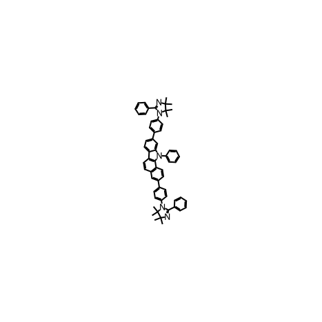 CC1(C)N=C(c2ccccc2)N(c2ccc(-c3ccc4c(ccc5c6ccc(-c7ccc(N8C(c9ccccc9)=NC(C)(C)C8(C)C)cc7)cc6n(-c6ccccc6)c45)c3)cc2)C1(C)C